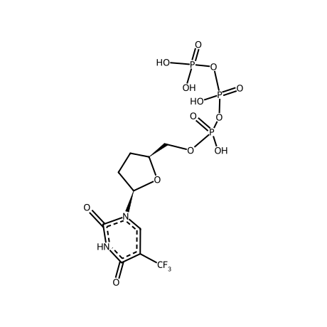 O=c1[nH]c(=O)n([C@H]2CC[C@@H](COP(=O)(O)OP(=O)(O)OP(=O)(O)O)O2)cc1C(F)(F)F